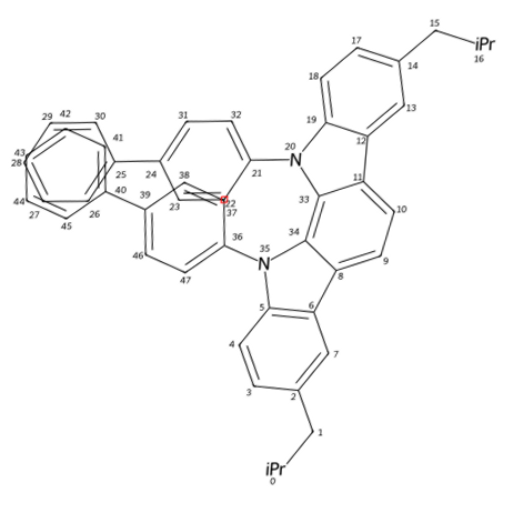 CC(C)Cc1ccc2c(c1)c1ccc3c4cc(CC(C)C)ccc4n(-c4ccc(-c5ccccc5)cc4)c3c1n2-c1ccc(-c2ccccc2)cc1